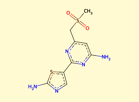 CS(=O)(=O)Cc1cc(N)nc(-c2cnc(N)s2)n1